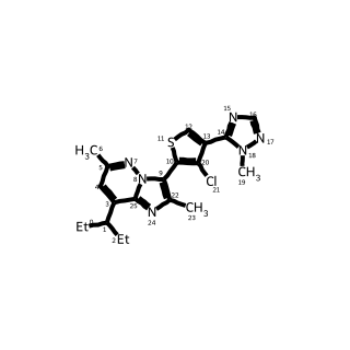 CCC(CC)c1cc(C)nn2c(-c3scc(-c4ncnn4C)c3Cl)c(C)nc12